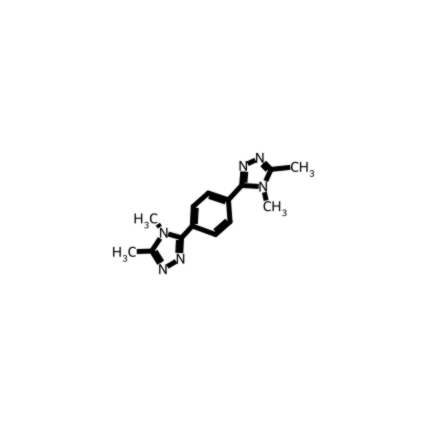 Cc1nnc(-c2ccc(-c3nnc(C)n3C)cc2)n1C